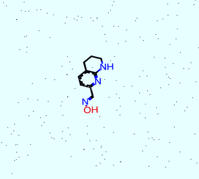 ON=Cc1ccc2c(n1)NCCC2